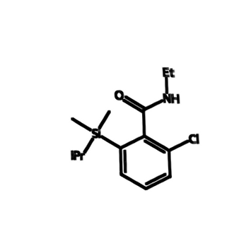 CCNC(=O)c1c(Cl)cccc1[Si](C)(C)C(C)C